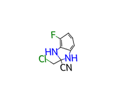 N#CC1(CCl)Nc2cccc(F)c2N1